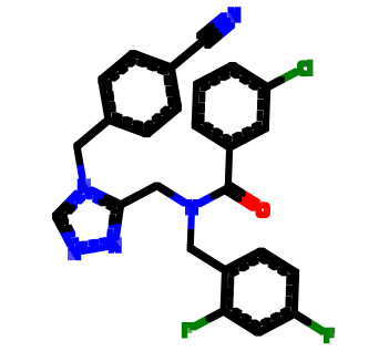 N#Cc1ccc(Cn2cnnc2CN(Cc2ccc(F)cc2F)C(=O)c2cccc(Cl)c2)cc1